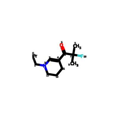 CC(C)CN1C=C(C(=O)C(C)(C)F)CCC1